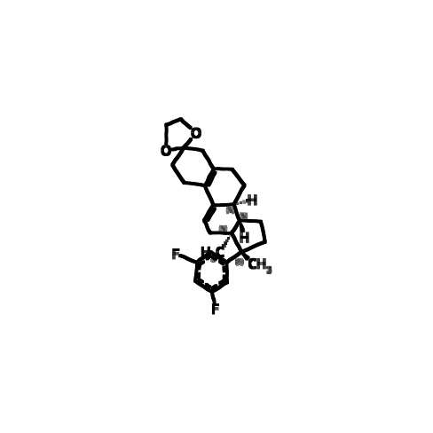 C[C@]12CC=C3C4=C(CC[C@H]3[C@@H]1CC[C@]2(C)c1cc(F)cc(F)c1)CC1(CC4)OCCO1